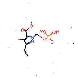 CCc1nn(COP(=O)(O)O)c(C(=O)OC)c1C